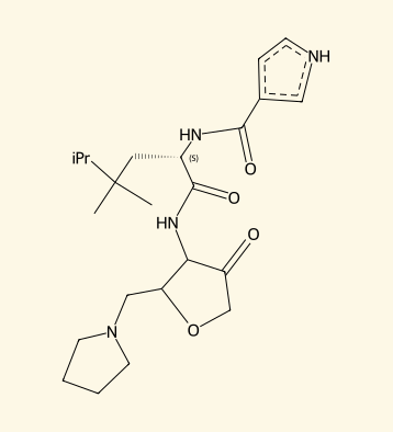 CC(C)C(C)(C)C[C@H](NC(=O)c1cc[nH]c1)C(=O)NC1C(=O)COC1CN1CCCC1